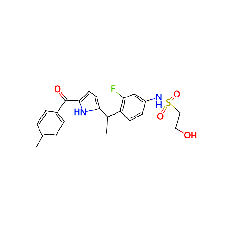 Cc1ccc(C(=O)c2ccc(C(C)c3ccc(NS(=O)(=O)CCO)cc3F)[nH]2)cc1